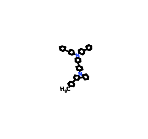 Cc1ccc(-c2ccc3c(c2)c2ccccc2n3-c2ccc(-c3ccc(N(c4ccc(-c5ccccc5)cc4)c4ccc(-c5ccccc5)cc4)cc3)cc2)cc1